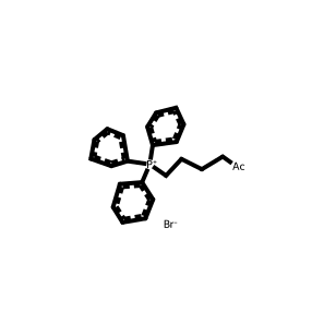 CC(=O)CCCC[P+](c1ccccc1)(c1ccccc1)c1ccccc1.[Br-]